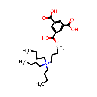 CCCC[N+](CCCC)(CCCC)CCCC.O=C(O)c1cc(C(=O)O)cc(C(=O)O)c1